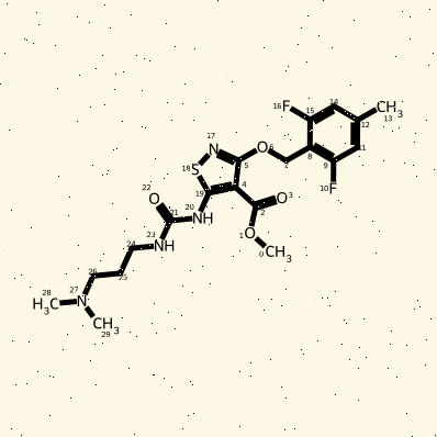 COC(=O)c1c(OCc2c(F)cc(C)cc2F)nsc1NC(=O)NCCCN(C)C